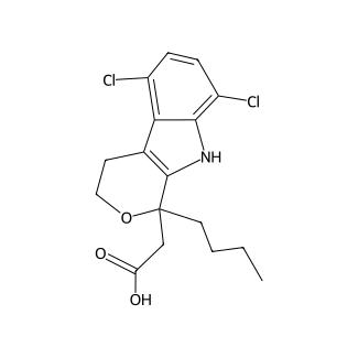 CCCCC1(CC(=O)O)OCCc2c1[nH]c1c(Cl)ccc(Cl)c21